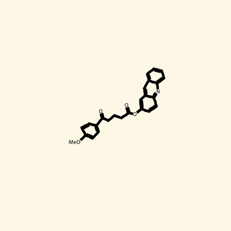 COc1ccc(C(=O)CCCC(=O)Oc2ccc3nc4ccccc4cc3c2)cc1